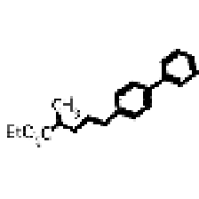 CCOC(=O)C(C)CCCc1ccc(-c2ccccc2)cc1